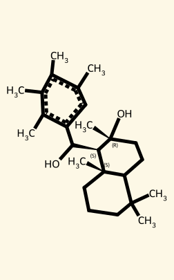 Cc1cc(C(O)[C@@H]2[C@@]3(C)CCCC(C)(C)C3CC[C@@]2(C)O)c(C)c(C)c1C